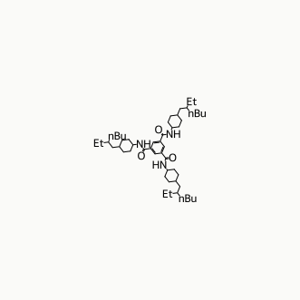 CCCCC(CC)CC1CCC(NC(=O)c2cc(C(=O)NC3CCC(CC(CC)CCCC)CC3)cc(C(=O)NC3CCC(CC(CC)CCCC)CC3)c2)CC1